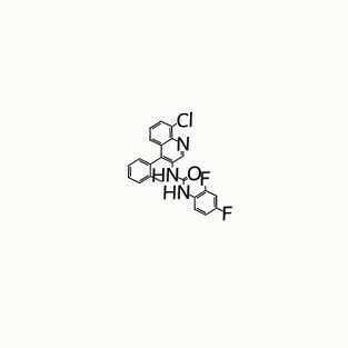 Cc1ccccc1-c1c(NC(=O)Nc2ccc(F)cc2F)cnc2c(Cl)cccc12